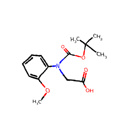 COc1ccccc1N(CC(=O)O)C(=O)OC(C)(C)C